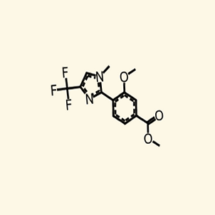 COC(=O)c1ccc(-c2nc(C(F)(F)F)cn2C)c(OC)c1